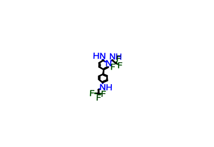 N=C(n1cc(-c2ccc(NCC(F)(F)F)cc2)ccc1=N)C(F)(F)F